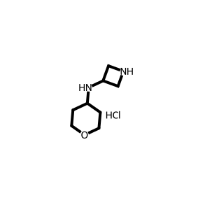 C1CC(NC2CNC2)CCO1.Cl